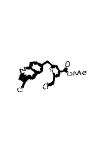 COC(=O)c1cc(CCl)nc(Cc2ccc3ncc(Cl)cc3c2)c1